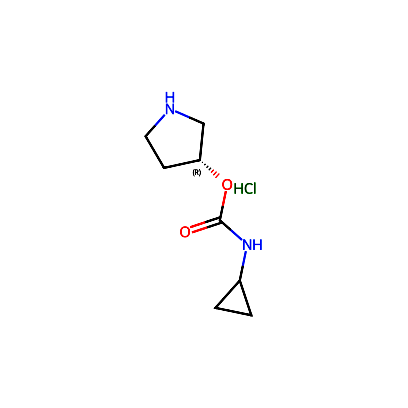 Cl.O=C(NC1CC1)O[C@@H]1CCNC1